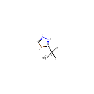 CCCC(C)(C)c1nn[c]s1